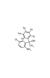 [2H]c1c([2H])c([2H])c(C(C)(O)c2cc(Cl)ccc2N)c([2H])c1[2H]